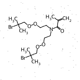 C=C(C)C(=O)N(CCOOCC(C)(C)Br)CCOOCC(C)(C)Br